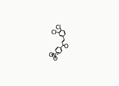 O=C(C=Cc1ccc(Cl)c(Cl)c1)c1ccc([N+](=O)[O-])cc1